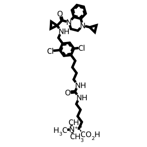 C[N+](C)(C)[C@H](CCCCNC(=O)NCCCCc1cc(Cl)c(CNC2(C(=O)N3CCN(C4CC4)c4ccccc43)CC2)cc1Cl)C(=O)O